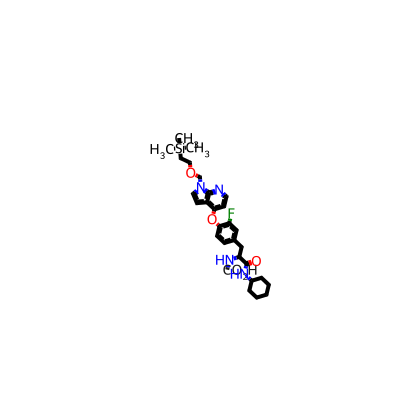 C[Si](C)(C)CCOCn1ccc2c(Oc3ccc(CC(NC(=O)O)C(=O)NC4CCCCC4)cc3F)ccnc21